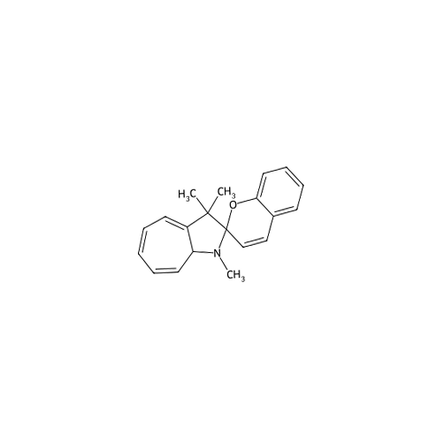 CN1C2C=CC=CC=C2C(C)(C)C12C=Cc1ccccc1O2